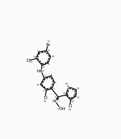 O/N=C(/c1ccc(Nc2ccc(Br)cc2Cl)cc1Cl)c1sccc1Cl